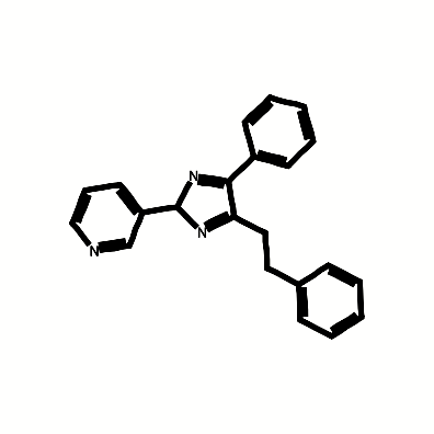 c1ccc(CCC2=NC(c3cccnc3)N=C2c2ccccc2)cc1